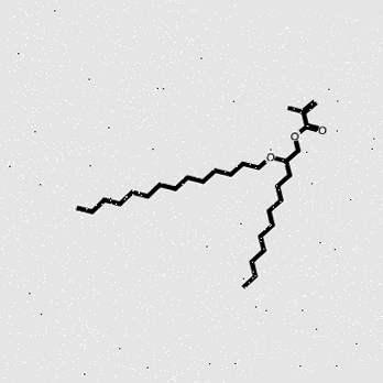 C=C(C)C(=O)OCC(CCCCCCCCCC)OCCCCCCCCCCCCCC